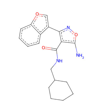 Nc1onc(-c2coc3ccccc23)c1C(=O)NCC1CCCCC1